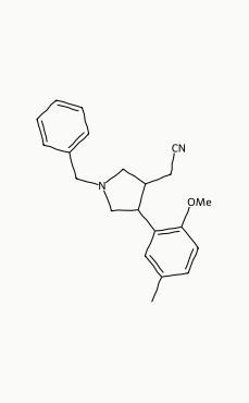 COc1ccc(C)cc1C1CN(Cc2ccccc2)CC1CC#N